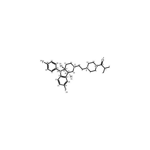 CC(C)C(=O)N1CCN(CCN2CC[C@@H]3[C@@H](C2)c2cc(F)ccc2N3c2ccc(F)cc2)CC1